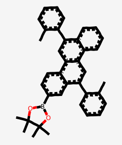 Cc1ccccc1-c1cc2c3ccc(B4OC(C)(C)C(C)(C)O4)cc3c(-c3ccccc3C)cc2c2ccccc12